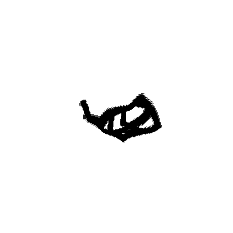 C[CH]C1C2C3CC4CC(C3)CC12C4